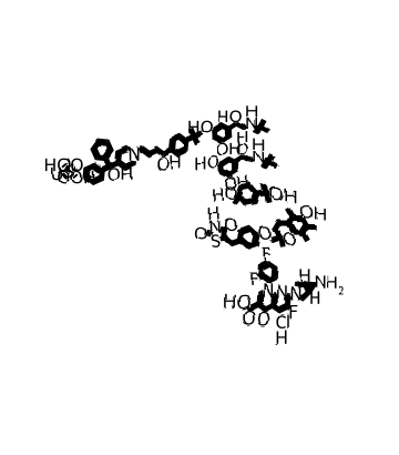 CC(C)(C)NCC(O)c1cc(O)cc(O)c1.CC(C)(C)NCC(O)c1cc(O)cc(O)c1.CC(C)(C)c1ccc(C(O)CCCN2CCC(C(O)(c3ccccc3)c3ccccc3)CC2)cc1.CC1(O)CCC(C(C)(C)O)CC1.Cc1c(C)c2c(c(C)c1O)CCC(C)(COc1ccc(CC3SC(=O)NC3=O)cc1)O2.Cl.N[C@@H]1[C@H]2CN(c3nc4c(cc3F)c(=O)c(C(=O)O)cn4-c3ccc(F)cc3F)C[C@@H]12.O=S(=O)(O)O.[U+4]